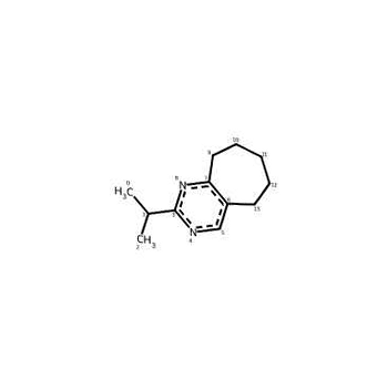 CC(C)c1ncc2c(n1)CCCCC2